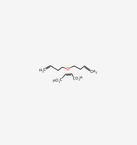 C=CCCOCCC=C.O=C(O)/C=C\C(=O)O